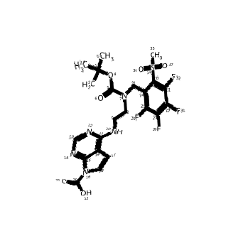 CC(C)(C)OC(=O)N(CCNc1ncnc2c1ccn2C(=O)O)Cc1c(F)c(F)c(F)c(F)c1S(C)(=O)=O